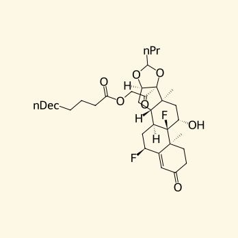 CCCCCCCCCCCCCC(=O)OCC(=O)[C@@]12OC(CCC)O[C@@H]1C[C@H]1[C@@H]3C[C@H](F)C4=CC(=O)CC[C@]4(C)[C@@]3(F)[C@@H](O)C[C@@]12C